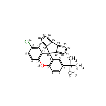 CC(C)(C)c1ccc2c(c1)C1(c3cc(Cl)ccc3O2)c2ccccc2-c2ccccc21